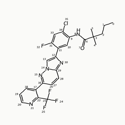 CCCC(C)(C)C(=O)Nc1cc(-c2cn3nc(-c4cccnc4C(F)(F)F)ccc3n2)c(F)cc1Cl